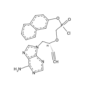 C#C[C@H](Cn1cnc2c(N)ncnc21)OCP(=O)(Cl)Oc1ccc2ccccc2c1